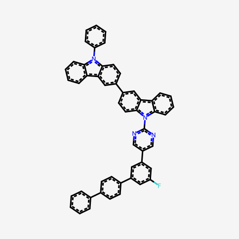 Fc1cc(-c2ccc(-c3ccccc3)cc2)cc(-c2cnc(-n3c4ccccc4c4cc(-c5ccc6c(c5)c5ccccc5n6-c5ccccc5)ccc43)nc2)c1